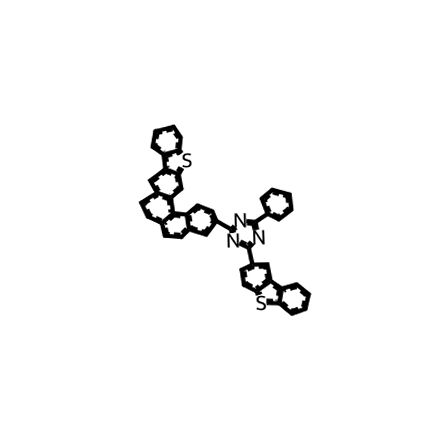 c1ccc(-c2nc(-c3ccc4c(ccc5ccc6cc7c(cc6c54)sc4ccccc47)c3)nc(-c3ccc4sc5ccccc5c4c3)n2)cc1